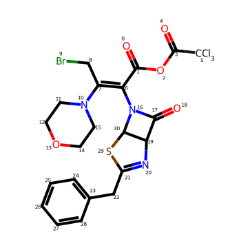 O=C(OC(=O)C(Cl)(Cl)Cl)C(=C(CBr)N1CCOCC1)N1C(=O)C2N=C(Cc3ccccc3)SC21